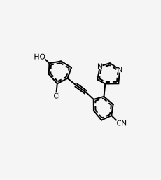 N#Cc1ccc(C#Cc2ccc(O)cc2Cl)c(-c2cncnc2)c1